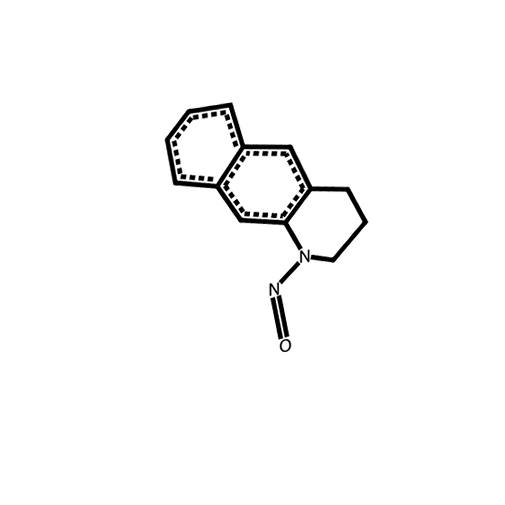 O=NN1CCCc2cc3ccccc3cc21